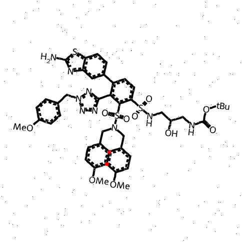 COc1ccc(CN(Cc2ccc(OC)cc2)S(=O)(=O)c2c(S(=O)(=O)NCC(O)CNC(=O)OC(C)(C)C)ccc(-c3ccc4sc(N)nc4c3)c2-c2nnn(Cc3ccc(OC)cc3)n2)cc1